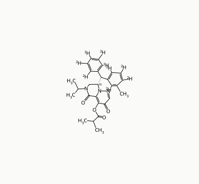 [2H]c1c([2H])c([2H])c(C(c2c([2H])c([2H])c([2H])c(C)c2[2H])[C@H]2CN(C(C)C)C(=O)c3c(OC(=O)C(C)C)c(=O)cnn32)c([2H])c1[2H]